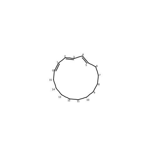 [C]1=C/C=C/C=C/CCCCCCCCCC\1